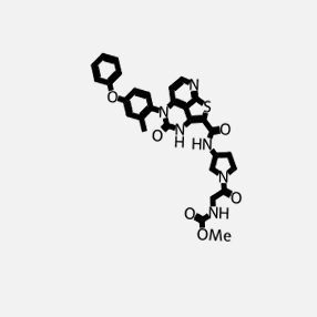 COC(=O)NCC(=O)N1CCC(NC(=O)c2sc3nccc4c3c2NC(=O)N4c2ccc(Oc3ccccc3)cc2C)C1